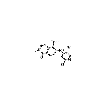 Cn1ncc2c(P(C)C)c(Nc3nc(Cl)ncc3Br)ccc2c1=O